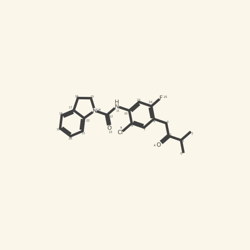 CC(C)C(=O)Cc1cc(Cl)c(NC(=O)N2CCc3ccccc32)cc1F